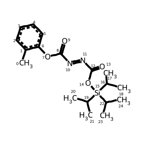 Cc1ccccc1OC(=O)/N=N/C(=O)O[Si](C(C)C)(C(C)C)C(C)C